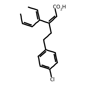 C\C=C/C(=C\C)C(=C\C(=O)O)/CCc1ccc(Cl)cc1